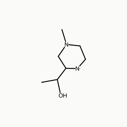 CC(O)C1CN(C)CC[N]1